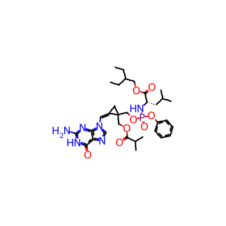 CCC(CC)COC(=O)[C@H](CC(C)C)N[P@](=O)(OCC1(COC(=O)C(C)C)C/C1=C/n1cnc2c(=O)[nH]c(N)nc21)Oc1ccccc1